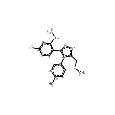 COCc1nnc(-c2cnc(Cl)cc2OC)n1-c1ccc(O)nc1